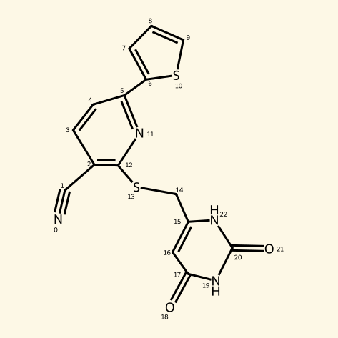 N#Cc1ccc(-c2cccs2)nc1SCc1cc(=O)[nH]c(=O)[nH]1